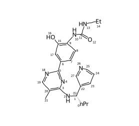 CCC[C@H](Nc1nc(-c2ccc(NC(=O)NCC)c(O)c2)ncc1C)c1cccnc1